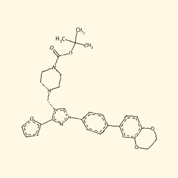 CC(C)(C)OC(=O)N1CCN(Cc2cn(-c3ccc(-c4ccc5c(c4)OCCO5)cc3)nc2-c2ccco2)CC1